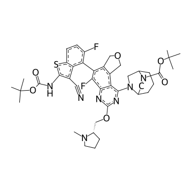 CN1CCC[C@H]1COc1nc(N2CC3CCCC2CN3C(=O)OC(C)(C)C)c2c3c(c(-c4c(F)ccc5sc(NC(=O)OC(C)(C)C)c(C#N)c45)c(F)c2n1)COC3